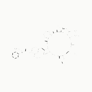 C=CCC1/C=C(/C)CC(C)CC(OC)C2OC(O)(C(=O)C(=O)N3CCCCC3C(=O)OC(/C(C)=C/C3CCC(OC(=O)C(OC)(c4ccccc4)C(F)(F)F)C(OC)C3)C(C)C(O)CC1=O)C(C)CC2OC